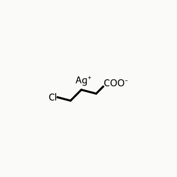 O=C([O-])CCCCl.[Ag+]